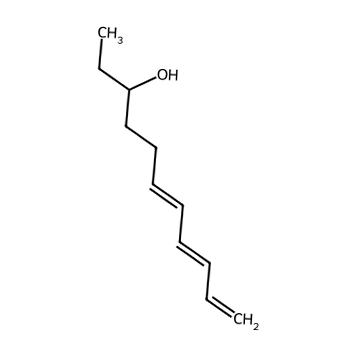 C=CC=CC=CCCC(O)CC